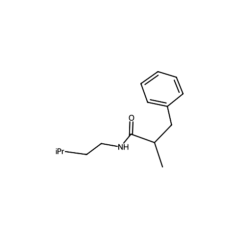 CC(C)CCNC(=O)C(C)Cc1ccccc1